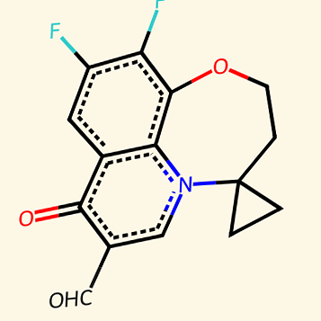 O=Cc1cn2c3c(c(F)c(F)cc3c1=O)OCCC21CC1